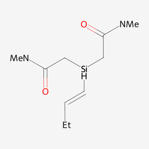 CCC=C[SiH](CC(=O)NC)CC(=O)NC